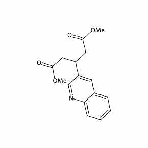 COC(=O)CC(CC(=O)OC)c1cnc2ccccc2c1